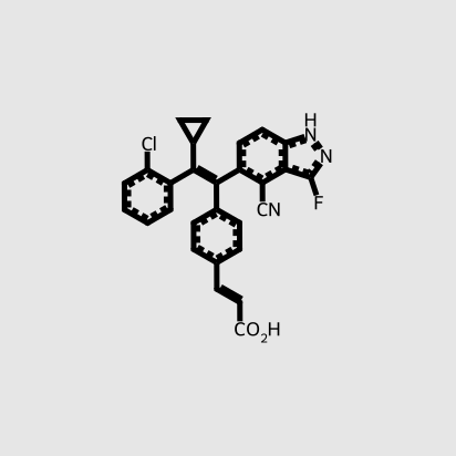 N#Cc1c(/C(=C(/c2ccccc2Cl)C2CC2)c2ccc(/C=C/C(=O)O)cc2)ccc2[nH]nc(F)c12